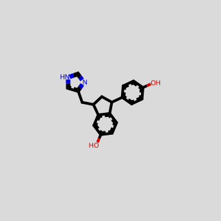 Oc1ccc(C2CC(Cc3c[nH]cn3)c3cc(O)ccc32)cc1